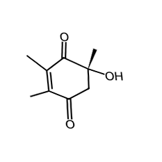 CC1=C(C)C(=O)[C@](C)(O)CC1=O